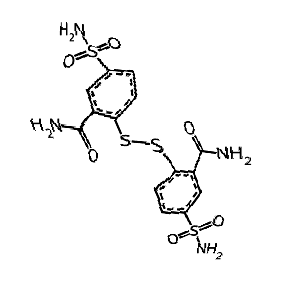 NC(=O)c1cc(S(N)(=O)=O)ccc1SSc1ccc(S(N)(=O)=O)cc1C(N)=O